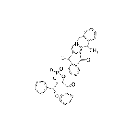 CC1c2ccccc2Cn2cc3c(c21)C(=O)c1cccc(OP(=O)(OCC(=O)c2ccccc2)OCC(=O)c2ccccc2)c1C3=O